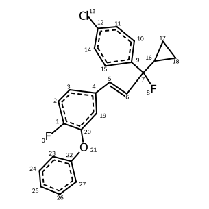 Fc1ccc(C=CC(F)(c2ccc(Cl)cc2)C2CC2)cc1Oc1ccccc1